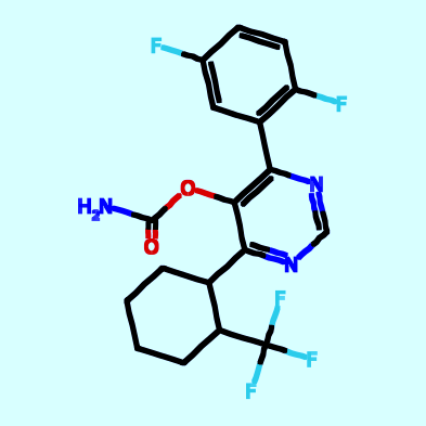 NC(=O)Oc1c(-c2cc(F)ccc2F)ncnc1C1CCCCC1C(F)(F)F